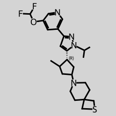 CC1CC(N2CCC3(CC2)CSC3)C[C@H]1c1cc(-c2cncc(OC(F)F)c2)nn1C(C)C